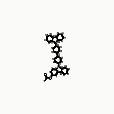 CC(=O)Oc1ccc2c(c1)c1ccccc1n2-c1ccc(-c2ccc(-n3c4ccccc4c4ccccc43)cc2)cc1